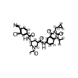 CC(=O)N1CC(NC(=O)c2ccc(C#N)c(Cl)c2)CC(C(=O)Nc2ccc3c(c2)c(=O)n(CC2CC2)c(=O)n3C(C)C)C1